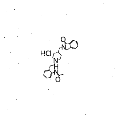 CC(=O)Nc1ccccc1CCN1CCC(CN2Cc3ccccc3C2=O)CC1.Cl